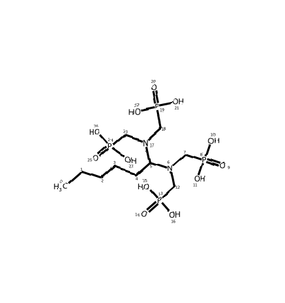 CCCCCC(N(CP(=O)(O)O)CP(=O)(O)O)N(CP(=O)(O)O)CP(=O)(O)O